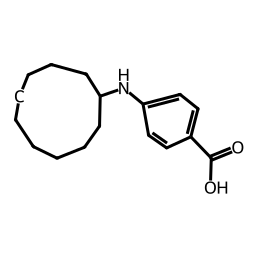 O=C(O)c1ccc(NC2CCCCCCCCC2)cc1